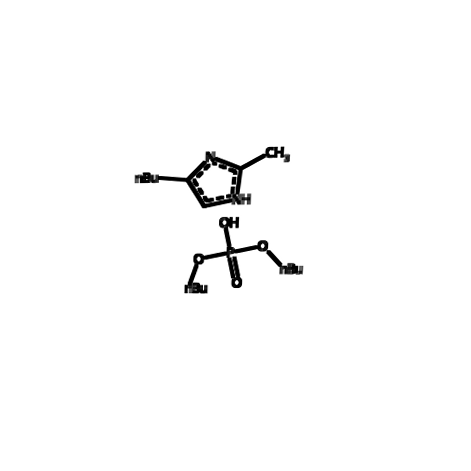 CCCCOP(=O)(O)OCCCC.CCCCc1c[nH]c(C)n1